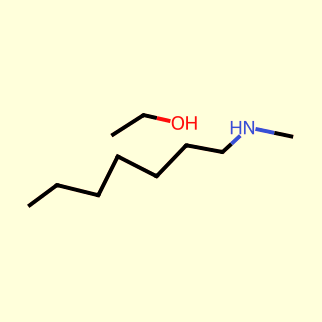 CCCCCCCNC.CCO